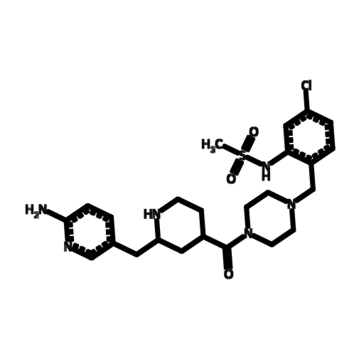 CS(=O)(=O)Nc1cc(Cl)ccc1CN1CCN(C(=O)C2CCNC(Cc3ccc(N)nc3)C2)CC1